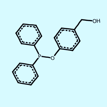 OCc1ccc(OP(c2ccccc2)c2ccccc2)cc1